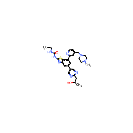 CCNC(=O)Nc1nc2cc(-c3cnc(CC(C)O)nc3)cc(-c3cc(CN4CCN(C)CC4)ccn3)c2s1